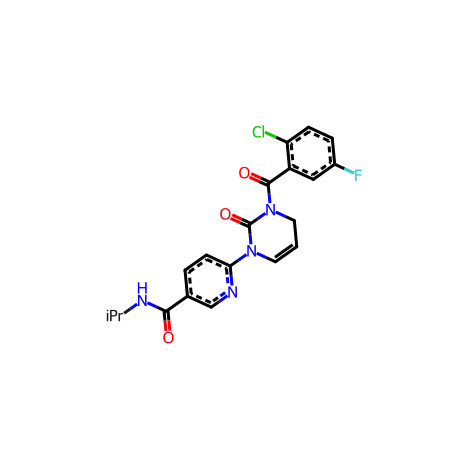 CC(C)NC(=O)c1ccc(N2C=CCN(C(=O)c3cc(F)ccc3Cl)C2=O)nc1